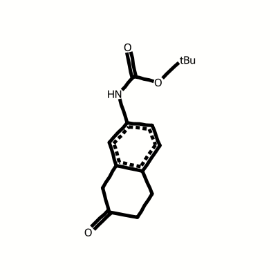 CC(C)(C)OC(=O)Nc1ccc2c(c1)CC(=O)CC2